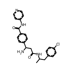 CC(Cc1ccc(Cl)cc1)NC(=O)CC(N)c1ccc(C(=O)Nc2ccncc2)cc1